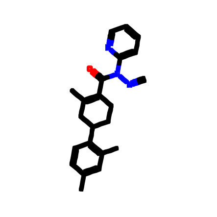 C=NN(C(=O)C1=C(C)CC(c2ccc(C)cc2C)CC1)c1ccccn1